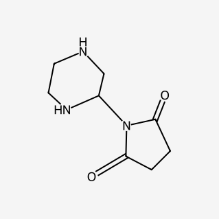 O=C1CCC(=O)N1C1CNCCN1